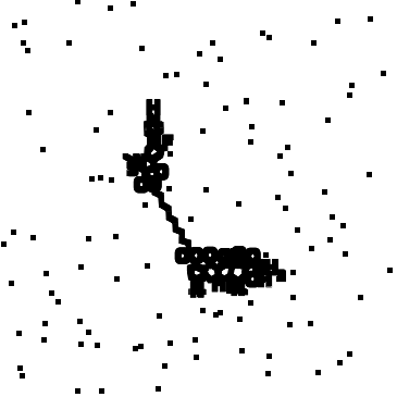 CC1Sc2c(C(=O)OCCCCCCCCCCC(=O)Oc3ccc(N(C)C)c4c3C(=O)C3=C(O)[C@@]5(O)C(=O)C(C(N)=O)=C(O)[C@H](N(C)C)[C@H]5C[C@H]3C4)c(=O)c3cc(F)c(N4CCNCC4)cc3n21